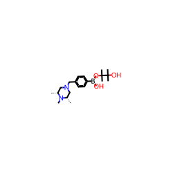 C[C@@H]1CN(Cc2ccc(B(O)OC(C)(C)C(C)(C)O)cc2)C[C@H](C)N1C